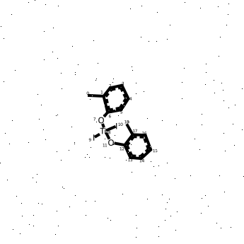 Cc1ccccc1[O][Ti]([I])([I])[O]c1ccccc1C